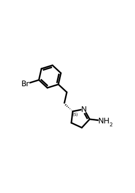 NC1=N[C@@H](CCc2cccc(Br)c2)CC1